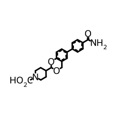 NC(=O)c1ccc(-c2ccc3c(c2)COC(C2CCN(C(=O)O)CC2)O3)cc1